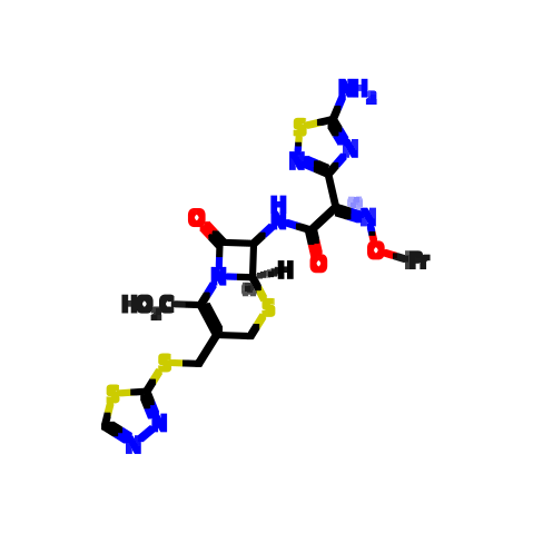 CC(C)O/N=C(\C(=O)NC1C(=O)N2C(C(=O)O)=C(CSc3nncs3)CS[C@H]12)c1nsc(N)n1